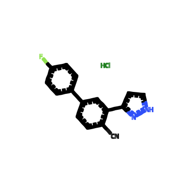 Cl.N#Cc1ccc(-c2ccc(F)cc2)cc1-c1cc[nH]n1